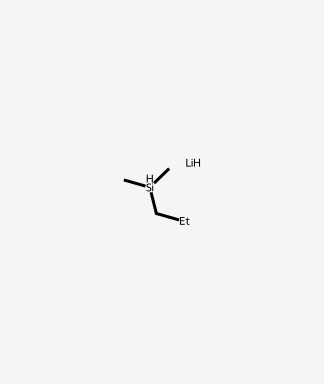 CCC[SiH](C)C.[LiH]